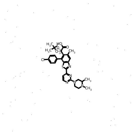 Cc1cc2nc(-c3ccnc(N4CCN(C)C(C)C4)n3)sc2c(-c2ccc(Cl)cc2)c1[C@H](OC(C)(C)C)C(=O)O